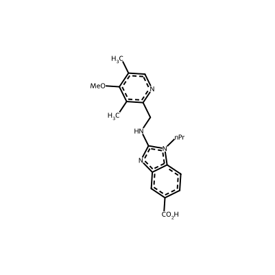 CCCn1c(NCc2ncc(C)c(OC)c2C)nc2cc(C(=O)O)ccc21